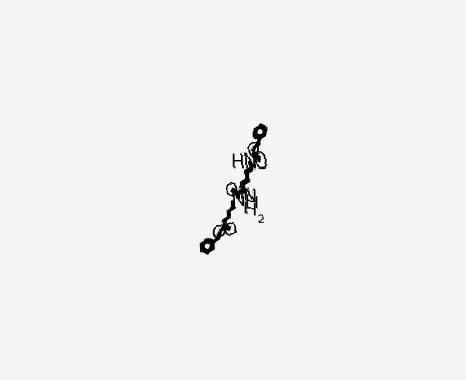 N[C@@H](CCCCNC(=O)OCc1ccccc1)C(=O)NCCCCCC(=O)OCc1ccccc1